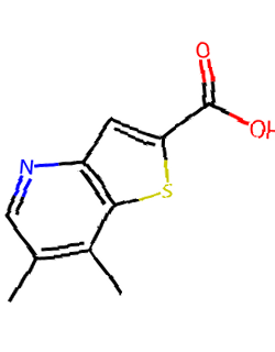 Cc1cnc2cc(C(=O)O)sc2c1C